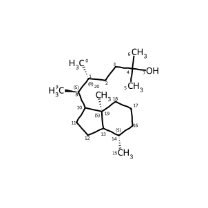 C[C@H](CCC(C)(C)O)[C@H](C)C1CCC2[C@@H](C)CCC[C@]12C